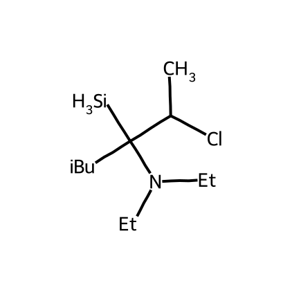 CCC(C)C([SiH3])(C(C)Cl)N(CC)CC